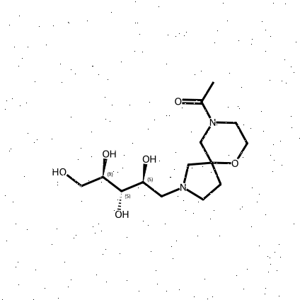 CC(=O)N1CCOC2(CCN(C[C@H](O)[C@H](O)[C@H](O)CO)C2)C1